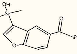 CC(C)C(=O)c1ccc2occ([Si](C)(C)O)c2c1